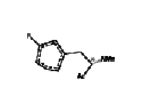 CN[C@@H](Cc1cccc(F)c1)C(C)=O